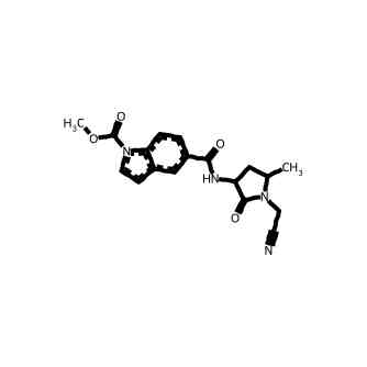 COC(=O)n1ccc2cc(C(=O)NC3CC(C)N(CC#N)C3=O)ccc21